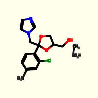 CS(=O)(=O)O.O=[N+]([O-])c1ccc(C2(Cn3ccnc3)OCC(CO)O2)c(Cl)c1